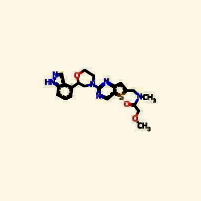 COCC(=O)N(C)Cc1cc2nc(N3CCOC(c4cccc5[nH]ncc45)C3)ncc2s1